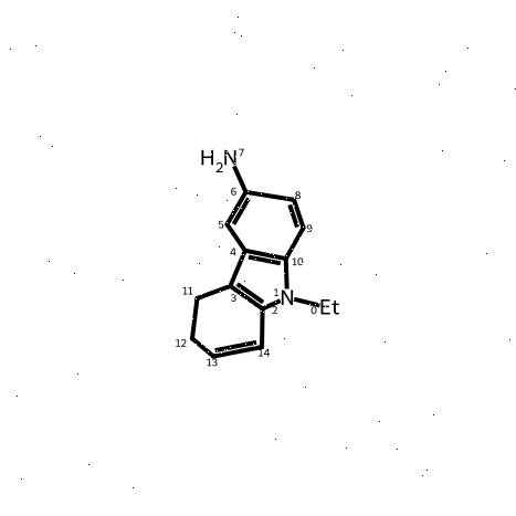 CCn1c2c(c3cc(N)ccc31)CCC=C2